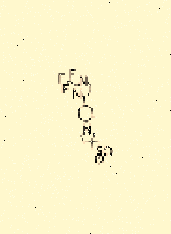 O=S1(=O)CC2(CCN([C@H]3CC[C@H](c4ccnc(C(F)(F)F)n4)CC3)C2)C1